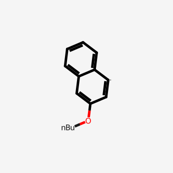 CCCCOc1c[c]c2ccccc2c1